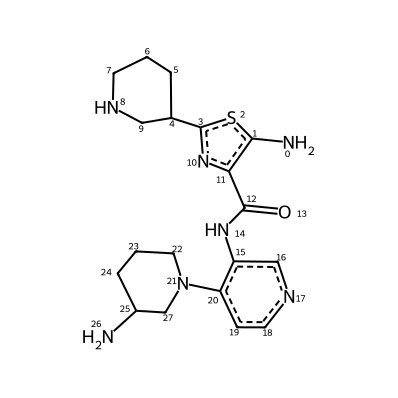 Nc1sc(C2CCCNC2)nc1C(=O)Nc1cnccc1N1CCCC(N)C1